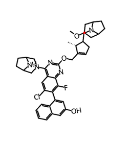 COC1CC2CCC(C1)N2CC1CC=C(COc2nc(N3CC4CCC(C3)N4)c3cc(Cl)c(-c4cc(O)cc5ccccc45)c(F)c3n2)[C@@H]1C